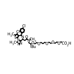 Cc1sc2c(c1C)C(c1ccc(Cl)cc1)=NC(CC(=O)N(C)CC(OCCOCCCOCCOCCOCC(=O)O)C(C)(C)C)c1nnc(C)n1-2